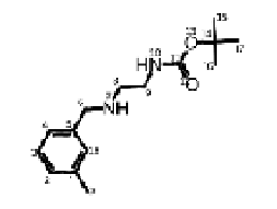 Cc1cccc(CNCCNC(=O)OC(C)(C)C)c1